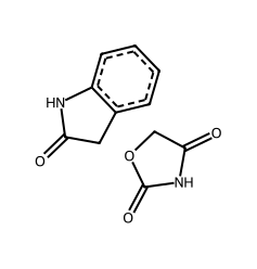 O=C1COC(=O)N1.O=C1Cc2ccccc2N1